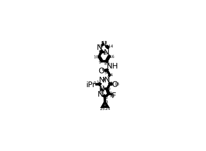 CC(C)c1nn(CC(=O)Nc2ccc3nncn3c2)c(=O)c2c(F)c(C3CC3)nn12